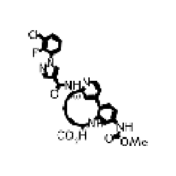 COC(=O)Nc1ccc2c(c1)N[C@@H](C(=O)O)CCCC[C@H](NC(=O)c1cnn(-c3cccc(Cl)c3F)c1)c1cc-2ccn1